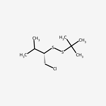 CC(C)[C@@H](CCl)SSC(C)(C)C